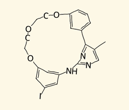 Cc1cnc2nc1-c1cccc(c1)OCCOCCOc1cc(I)cc(c1)N2